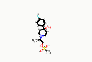 CC(COS(C)(=O)=O)N1CCC(O)(c2ccc(F)cc2)CC1